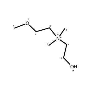 COCC[N+](C)(C)CCO